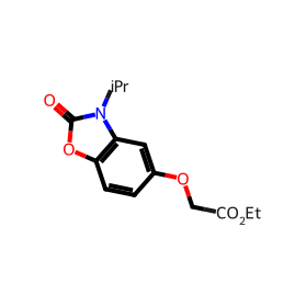 CCOC(=O)COc1ccc2oc(=O)n(C(C)C)c2c1